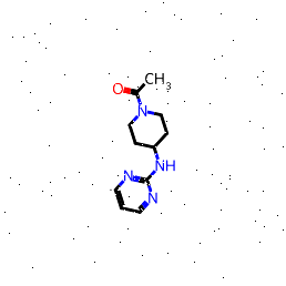 CC(=O)N1CCC(Nc2n[c]ccn2)CC1